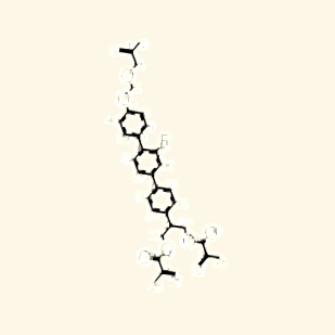 C=C(C)COCOc1ccc(-c2ccc(-c3ccc(C(COC(=O)C(=C)C)COC(=O)C(=C)C)cc3)cc2F)cc1